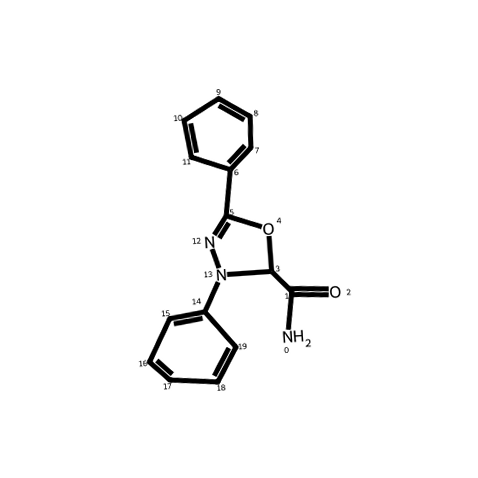 NC(=O)C1OC(c2ccccc2)=NN1c1ccccc1